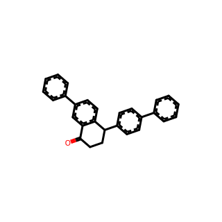 O=C1CCC(c2ccc(-c3ccccc3)cc2)c2ccc(-c3ccccc3)cc21